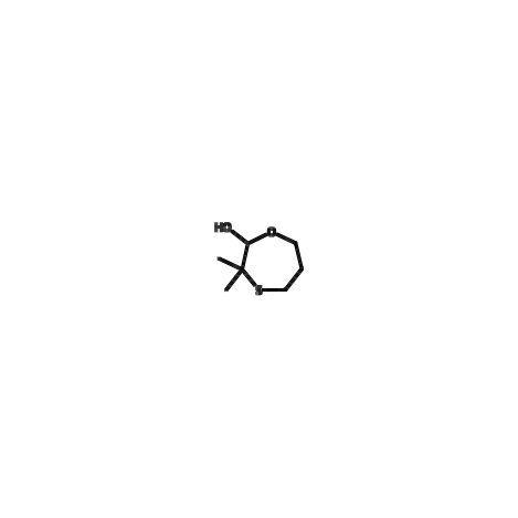 CC1(C)SCCCOC1O